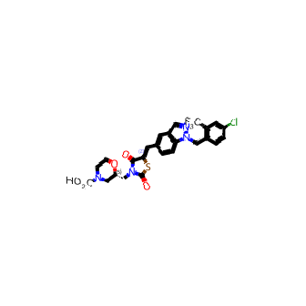 O=C(O)N1CCO[C@H](CN2C(=O)S/C(=C\c3ccc4c(cnn4Cc4ccc(Cl)cc4C(F)(F)F)c3)C2=O)C1